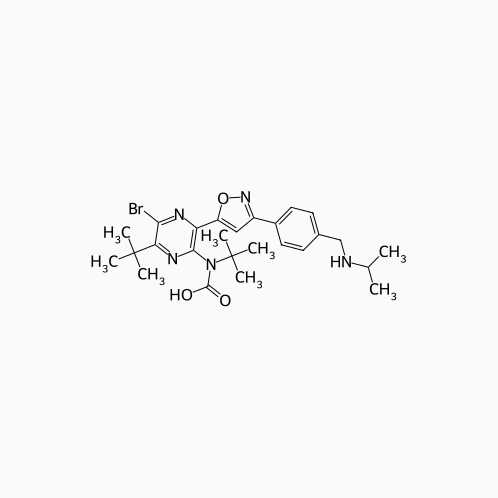 CC(C)NCc1ccc(-c2cc(-c3nc(Br)c(C(C)(C)C)nc3N(C(=O)O)C(C)(C)C)on2)cc1